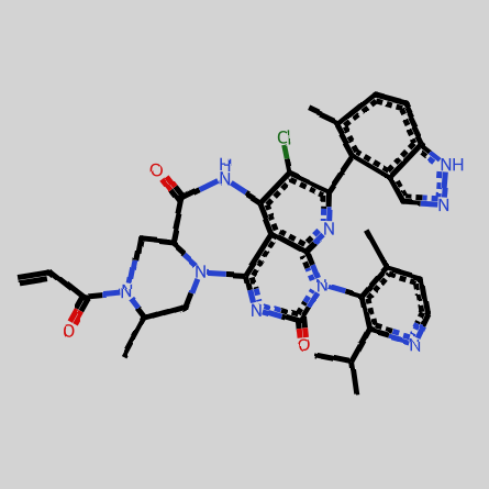 C=CC(=O)N1CC2C(=O)Nc3c(Cl)c(-c4c(C)ccc5[nH]ncc45)nc4c3c(nc(=O)n4-c3c(C)ccnc3C(C)C)N2CC1C